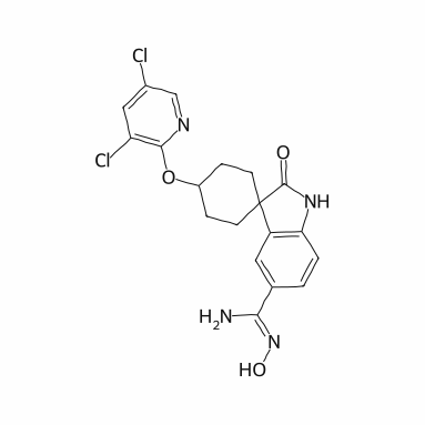 NC(=NO)c1ccc2c(c1)C1(CCC(Oc3ncc(Cl)cc3Cl)CC1)C(=O)N2